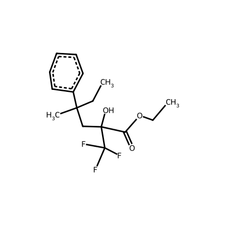 CCOC(=O)C(O)(CC(C)(CC)c1ccccc1)C(F)(F)F